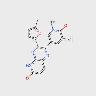 Cc1ccc(-c2nc3[nH]c(=O)ccc3nc2-c2cc(Cl)c(=O)n(C(C)C)c2)o1